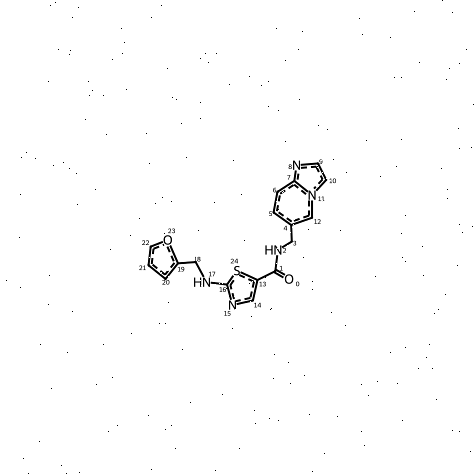 O=C(NCc1ccc2nccn2c1)c1cnc(NCc2ccco2)s1